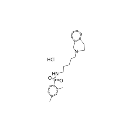 Cc1ccc(S(=O)(=O)NCCCCCN2CCc3ccccc3C2)c(C)c1.Cl